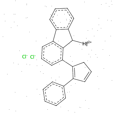 [Cl-].[Cl-].[Hf+2][CH]1c2ccccc2-c2cccc(C3=C(c4ccccc4)C=CC3)c21